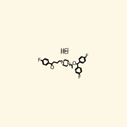 CC(OC(c1ccc(F)cc1)c1ccc(F)cc1)N1CCN(CCCC(=O)c2ccc(F)cc2)CC1.Cl.Cl